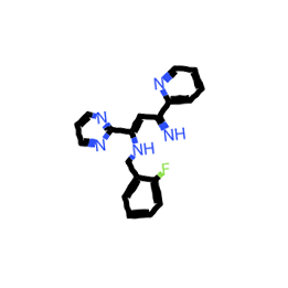 N=C(/C=C(\NCc1ccccc1F)c1ncccn1)c1ccccn1